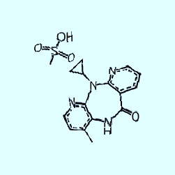 CS(=O)(=O)O.Cc1ccnc2c1NC(=O)c1cccnc1N2C1CC1